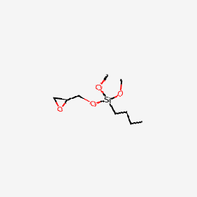 CCCC[Si](OC)(OC)OCC1CO1